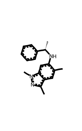 Cc1cc2c(C)nn(C)c2cc1N[C@@H](C)c1ccccc1